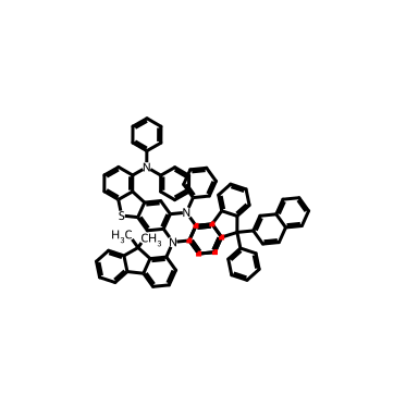 CC1(C)c2ccccc2-c2cccc(N(c3ccc4c(c3)-c3ccccc3C4(c3ccccc3)c3ccc4ccccc4c3)c3cc4sc5cccc(N(c6ccccc6)c6ccccc6)c5c4cc3N(c3ccccc3)c3ccccc3)c21